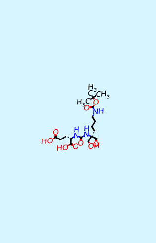 CC(C)(C)OC(=O)NCCCC[C@](C=O)(CO)NC(=O)N[C@@H](CCC(=O)O)C(=O)O